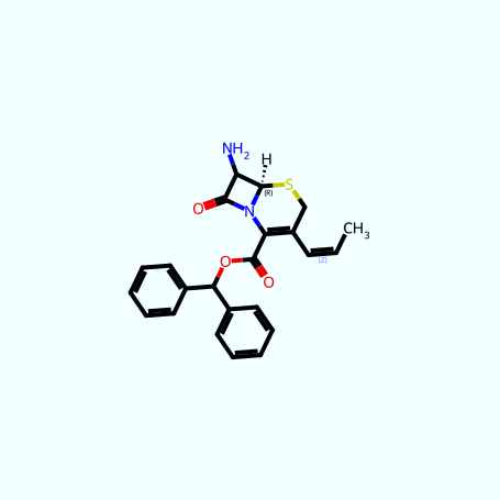 C/C=C\C1=C(C(=O)OC(c2ccccc2)c2ccccc2)N2C(=O)C(N)[C@H]2SC1